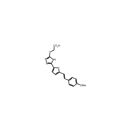 COc1ccc(/C=C/c2ccc(-c3nnc(SCC(=O)O)[nH]3)o2)cc1